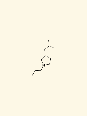 CCCN1CCC(CC(C)C)C1